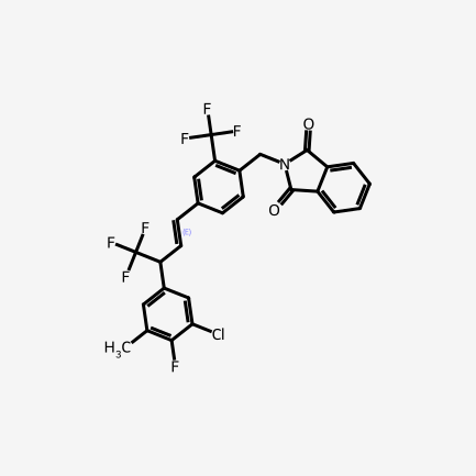 Cc1cc(C(/C=C/c2ccc(CN3C(=O)c4ccccc4C3=O)c(C(F)(F)F)c2)C(F)(F)F)cc(Cl)c1F